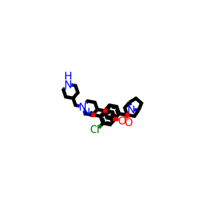 N#Cc1ccc(OC2CC3CCC(C2)N3C(=O)c2ccc(C3CCN(CC4CCNCC4)CC3)cc2)cc1Cl